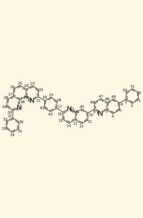 c1ccc(-c2ccc3nc(-c4ccc5ccc(-c6ccc(-c7ccc8ccc9ccc(-c%10ccccc%10)nc9c8n7)cc6)nc5c4)ccc3c2)cc1